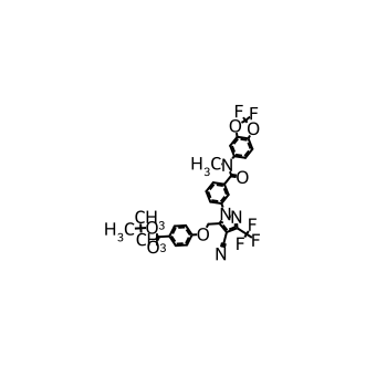 CN(C(=O)c1cccc(-n2nc(C(F)(F)F)c(C#N)c2COc2ccc(C(=O)OC(C)(C)C)cc2)c1)c1ccc2c(c1)OC(F)(F)O2